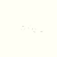 C=CCc1ccc(OC(=O)c2ccc(O)cc2)cc1